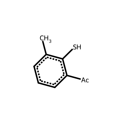 CC(=O)c1cccc(C)c1S